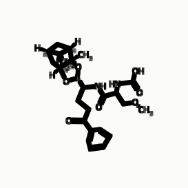 COCC(NC(=O)O)C(=O)NC(CCC(=O)c1ccccc1)B1O[C@@H]2C[C@@H]3C[C@@H](C3(C)C)[C@]2(C)O1